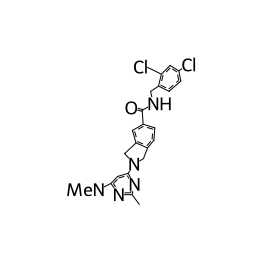 CNc1cc(N2Cc3ccc(C(=O)NCc4ccc(Cl)cc4Cl)cc3C2)nc(C)n1